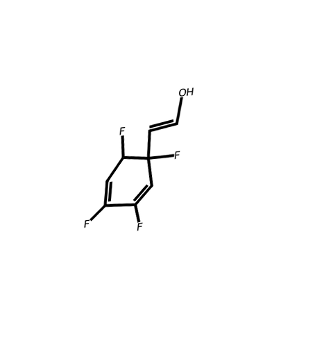 OC=CC1(F)C=C(F)C(F)=CC1F